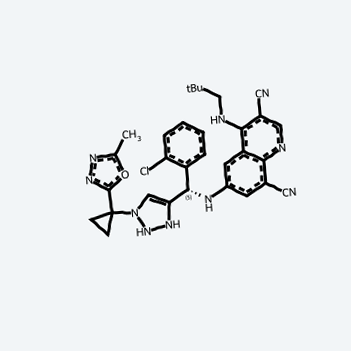 Cc1nnc(C2(N3C=C([C@@H](Nc4cc(C#N)c5ncc(C#N)c(NCC(C)(C)C)c5c4)c4ccccc4Cl)NN3)CC2)o1